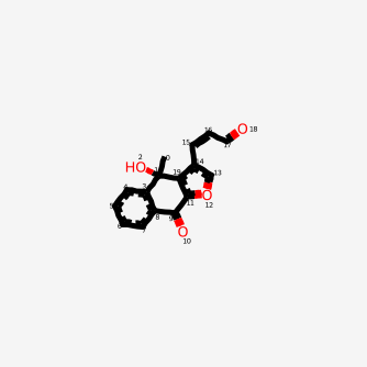 CC1(O)c2ccccc2C(=O)c2occ(/C=C\C=O)c21